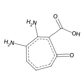 Nc1cccc(=O)c(C(=O)O)c1N